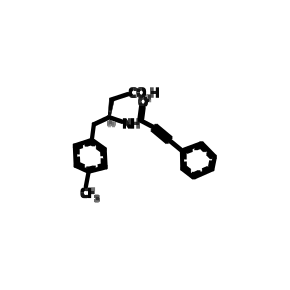 O=C(O)C[C@H](Cc1ccc(C(F)(F)F)cc1)NC(=O)C#Cc1ccccc1